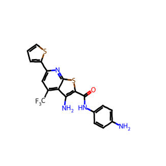 Nc1ccc(NC(=O)c2sc3nc(-c4cccs4)cc(C(F)(F)F)c3c2N)cc1